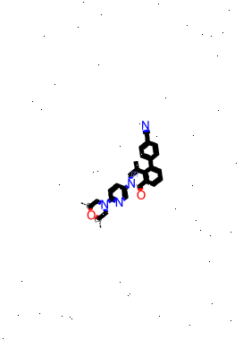 C/C(=C/N(C)c1ccc(N2C[C@@H](C)O[C@@H](C)C2)nc1)c1c(C=O)cccc1-c1ccc(C#N)cc1